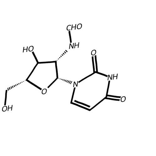 O=CN[C@H]1C(O)[C@@H](CO)O[C@H]1n1ccc(=O)[nH]c1=O